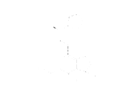 C[C@H](NCc1cc(C(N)=O)nc2c1CCC2(C)C)C1CCCC1